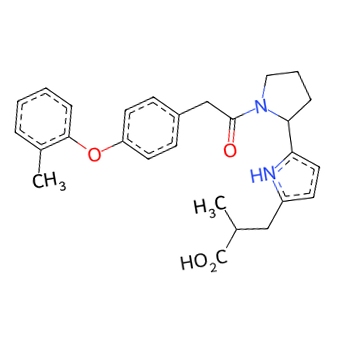 Cc1ccccc1Oc1ccc(CC(=O)N2CCCC2c2ccc(CC(C)C(=O)O)[nH]2)cc1